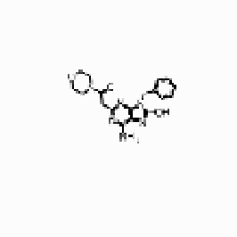 Nc1nc(CC(=O)N2CCOCC2)nc2c1nc(O)n2Cc1ccccc1